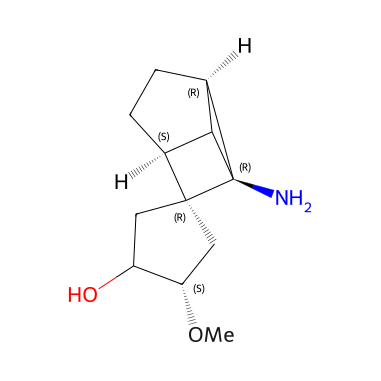 CO[C@H]1C[C@]2(CC1O)[C@H]1CC[C@@H]3C1[C@]32N